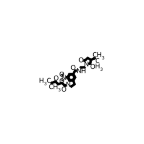 CC(C)C(=O)CCC(=O)N1CCc2cc(C(=O)NCCN3C(=O)CC(C(C)C)C3=O)cc([N+](=O)[O-])c21